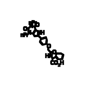 CCCn1c(=O)c2[nH]c(-c3ccc(OCC(=O)NC(C(=O)O)c4ccccc4)cc3)cc2n(CCC)c1=O